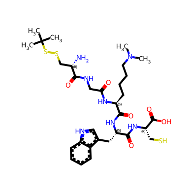 CN(C)CCCC[C@H](NC(=O)CNC(=O)[C@@H](N)CSSC(C)(C)C)C(=O)N[C@@H](Cc1c[nH]c2ccccc12)C(=O)N[C@@H](CS)C(=O)O